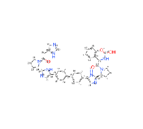 O=C(O)N[C@@H](C(=O)N1CCC[C@H]1c1ncc(-c2ccc(-c3ccc(-c4cnc([C@@H]5CCCN5C(=O)Cc5cnc[nH]5)[nH]4)cc3)cc2)[nH]1)c1ccccc1